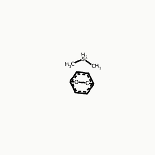 C[SiH2]C.c1cc2ccc1CO2